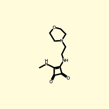 CNc1c(NCCN2CCOCC2)c(=O)c1=O